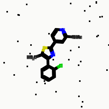 CC(=O)Nc1cc(-c2nc(-c3ccccc3Cl)c(C(=O)O)s2)ccn1